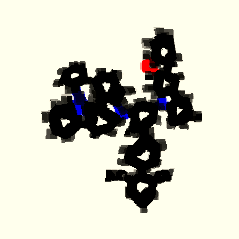 N#Cc1cccc(C#N)c1-c1ccc(-c2cc(-n3c4ccccc4c4cc5c(cc43)oc3ccccc35)cc(-n3c4ccccc4c4c3ccc3c5ccccc5n(-c5ccccc5)c34)c2)cc1